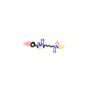 C=C(CCCCCNC(=O)CS)Nc1nc(-c2ccc(O)cc2)cs1